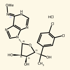 CO/N=c1\[nH]cnc2c1ncn2[C@@H]1O[C@H](C(C)(O)c2ccc(Cl)c(Cl)c2)[C@@H](O)[C@H]1O.Cl